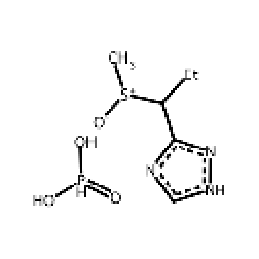 CCC(c1nc[nH]n1)[S+](C)[O-].O=[PH](O)O